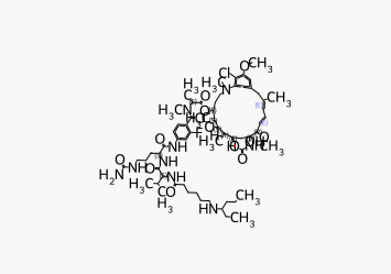 CCCC(CC)NCCCCCC(=O)N[C@H](C(=O)N[C@@H](CCCNC(N)=O)C(=O)Nc1ccc(C(=O)N(C)[C@@H](C)C(=O)O[C@H]2CCN(C)c3cc(cc(OC)c3Cl)C/C(C)=C/C=C/[C@@H](OC)[C@@]3(O)C[C@H](OC(=O)N3)[C@@H](C)[C@@H]3O[C@@]23C)c(F)c1)C(C)C